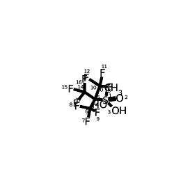 CS(=O)(O)(O)C(C(F)(F)F)(C(F)(F)F)C(F)(F)F